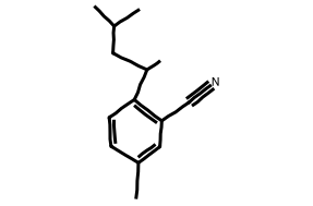 Cc1ccc(C(C)CC(C)C)c(C#N)c1